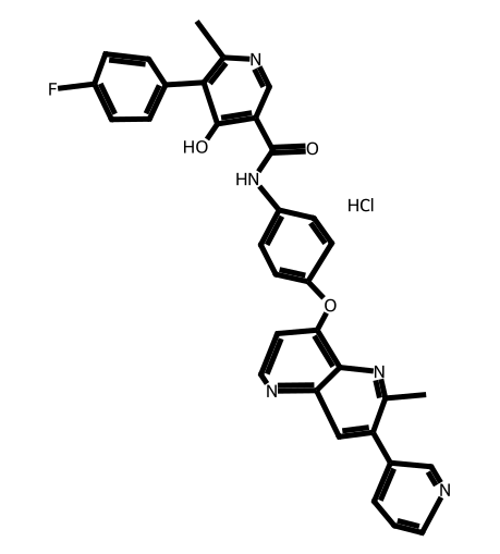 Cc1nc2c(Oc3ccc(NC(=O)c4cnc(C)c(-c5ccc(F)cc5)c4O)cc3)ccnc2cc1-c1cccnc1.Cl